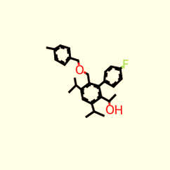 Cc1ccc(COCc2c(C(C)C)cc(C(C)C)c(C(C)O)c2-c2ccc(F)cc2)cc1